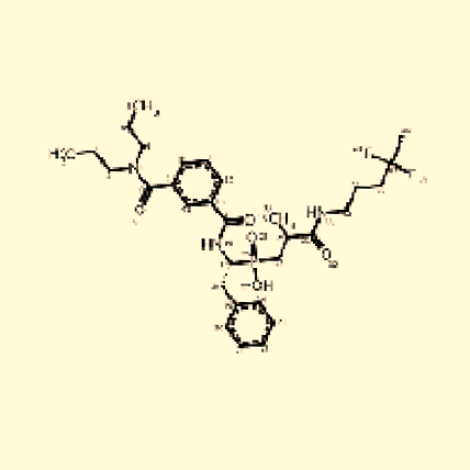 CCCN(CCC)C(=O)c1cccc(C(=O)N[C@@H](Cc2ccccc2)P(=O)(O)CC(C)C(=O)NCCCC(F)(F)F)c1